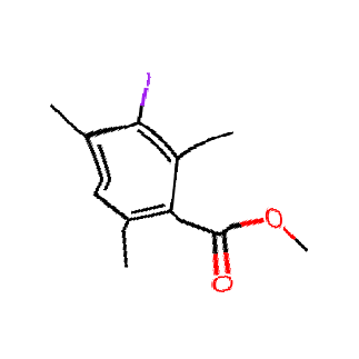 COC(=O)c1c(C)cc(C)c(I)c1C